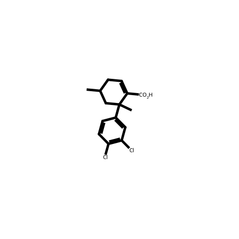 CC1CC=C(C(=O)O)C(C)(c2ccc(Cl)c(Cl)c2)C1